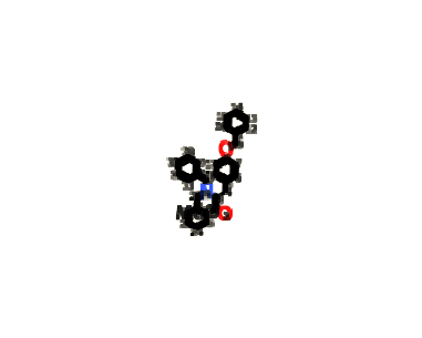 COC(=O)[C@@H](Cc1ccc(OCc2ccccc2)cc1)N(Cc1ccccc1)Cc1ccccc1